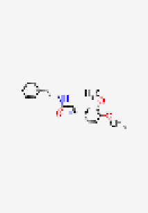 COc1ccc(/C=C/C(=O)NCCc2ccccc2)cc1OC